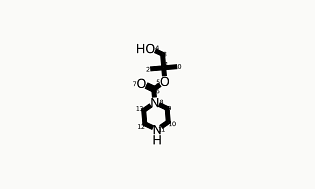 CC(C)(CO)OC(=O)N1CCNCC1